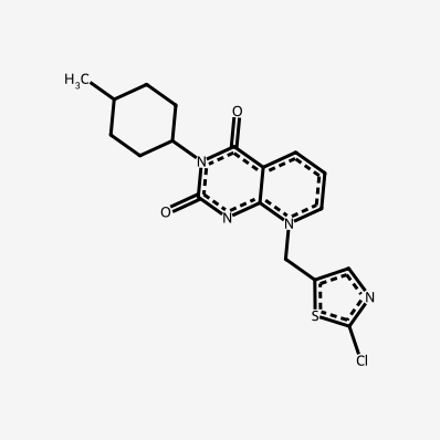 CC1CCC(n2c(=O)nc3n(Cc4cnc(Cl)s4)cccc-3c2=O)CC1